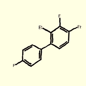 CCc1c[c]c(-c2ccc(F)cc2)c(CC)c1F